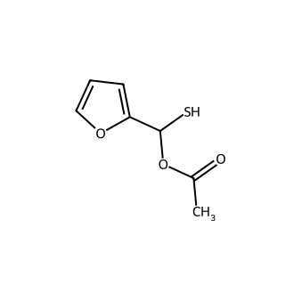 CC(=O)OC(S)c1ccco1